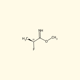 COC(=N)[C@H](C)F